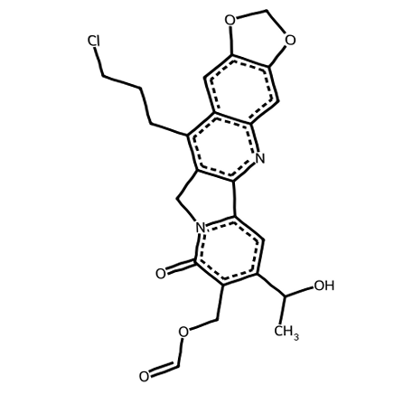 CC(O)c1cc2n(c(=O)c1COC=O)Cc1c-2nc2cc3c(cc2c1CCCCl)OCO3